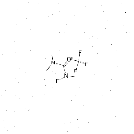 CN(C)C(=[O+]C(F)(F)F)N(C)F